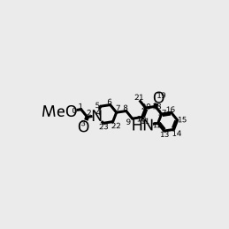 COCC(=O)N1CCC(CCc2[nH]c3ccccc3c(=O)c2C)CC1